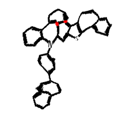 c1ccc(-c2ccccc2N(c2ccc(-c3ccc4ccccc4c3)cc2)c2ccc3c(c2)sc2c4ccccc4ccc32)cc1